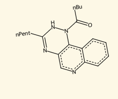 CCCCCC1=Nc2cnc3ccccc3c2N(C(=O)CCCC)N1